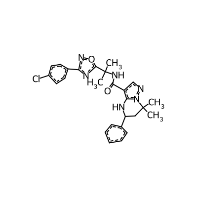 CC(C)(NC(=O)c1cnn2c1NC(c1ccccc1)CC2(C)C)c1nc(-c2ccc(Cl)cc2)no1